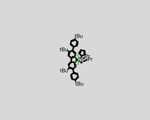 [CH2]=[Zr]([Cl])([Cl])([CH2]C(C)C)([CH2]C(C)C)([CH]1C=CC=C1)[CH]1c2cc(-c3ccc(C(C)(C)C)cc3)c(C(C)(C)C)cc2-c2cc(C(C)(C)C)c(-c3ccc(C(C)(C)C)cc3)cc21